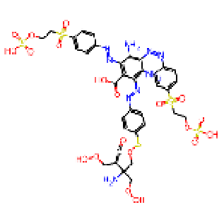 Nc1c(N=Nc2ccc(SOCC(N)(COO)C(=C=O)COO)cc2)c(C(=O)O)c(N=Nc2ccc(S(=O)(=O)CCOS(=O)(=O)O)cc2)c(N)c1/N=N\c1ccc(S(=O)(=O)CCOS(=O)(=O)O)cc1